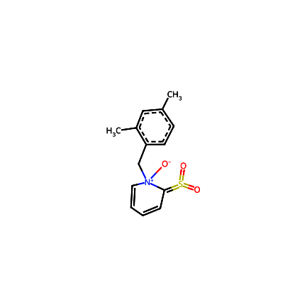 Cc1ccc(C[N+]2([O-])C=CC=CC2=S(=O)=O)c(C)c1